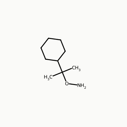 CC(C)(ON)C1CCCCC1